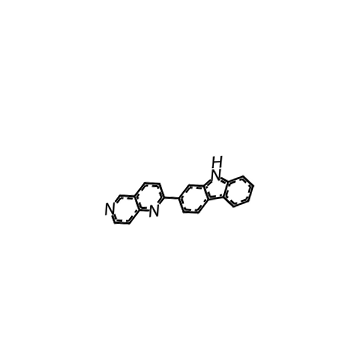 c1ccc2c(c1)[nH]c1cc(-c3ccc4cnccc4n3)ccc12